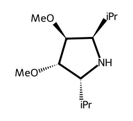 CO[C@@H]1[C@@H](OC)[C@@H](C(C)C)N[C@@H]1C(C)C